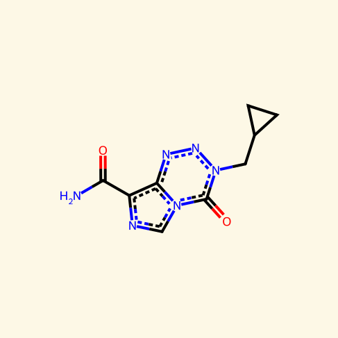 NC(=O)c1ncn2c(=O)n(CC3CC3)nnc12